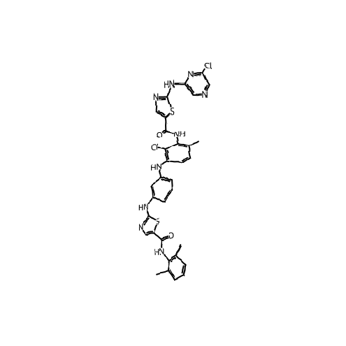 Cc1cccc(C)c1NC(=O)c1cnc(Nc2cccc(Nc3ccc(C)c(NC(=O)c4cnc(Nc5cncc(Cl)n5)s4)c3Cl)c2)s1